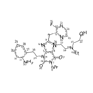 CCCn1c(=O)c2c(nc(Cc3nccnc3F)n2CCN(CC)CCO)n(CCc2ccccc2N)c1=O